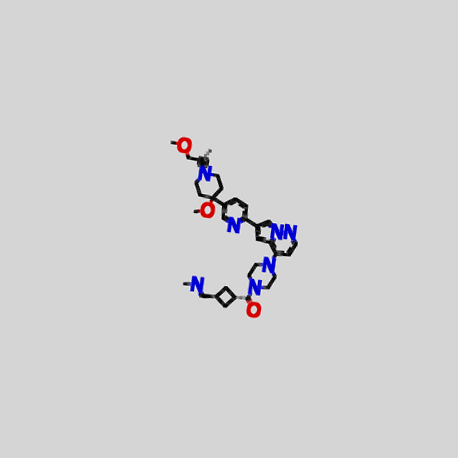 CN=C[C@H]1C[C@H](C(=O)N2CCN(c3ccnn4cc(-c5ccc(C6(OC)CCN([C@@H](C)COC)CC6)cn5)cc34)CC2)C1